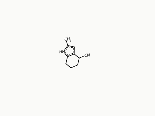 Cc1cc2c([nH]1)CCCC2C#N